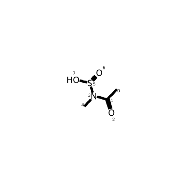 CC(=O)N(C)S(=O)O